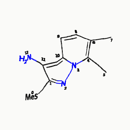 CSc1nn2c(C)c(C)ccc2c1N